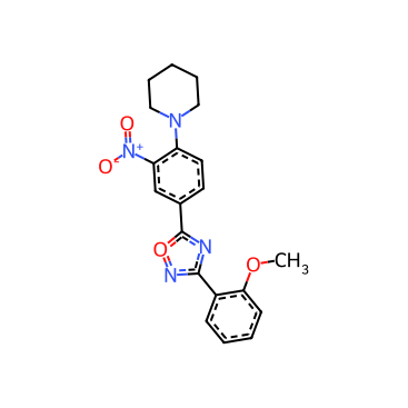 COc1ccccc1-c1noc(-c2ccc(N3CCCCC3)c([N+](=O)[O-])c2)n1